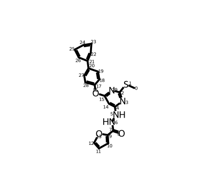 CSc1nc(NNC(=O)c2ccco2)cc(Oc2ccc(-c3ccccc3)cc2)n1